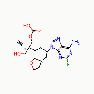 C#C[C@@](CO)(CCC(C[C@H]1CCOC1)n1cnc2c(N)nc(F)nc21)COC(=O)O